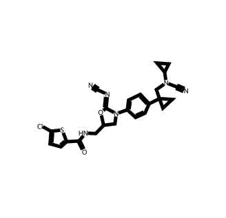 N#CN=C1OC(CNC(=O)c2ccc(Cl)s2)CN1c1ccc(C2(CN(C#N)C3CC3)CC2)cc1